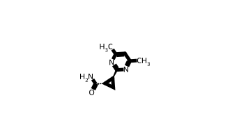 Cc1cc(C)nc([C@H]2C[C@@H]2C(N)=O)n1